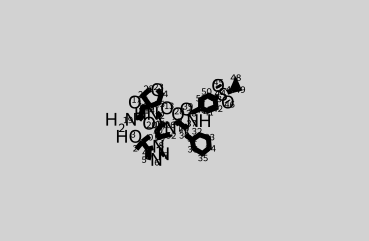 CC(C)(O)c1cnnn1[C@H]1C[C@@H](C(=O)NC2(C(=O)C(N)=O)CCOCC2)N(C(=O)[C@@H](CC2CCCCC2)NC(=O)c2ccc(S(=O)(=O)C3CC3)cc2)C1